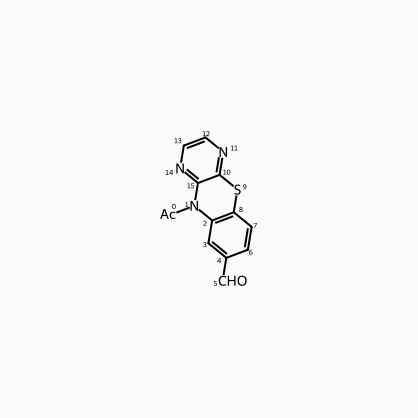 CC(=O)N1c2cc(C=O)ccc2Sc2nccnc21